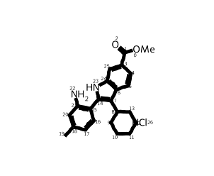 COC(=O)c1ccc2c(C3CCCCC3)c(-c3ccc(C)cc3N)[nH]c2c1.Cl